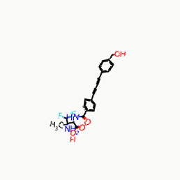 C[C@@](N)(C(F)F)[C@H](NC(=O)c1ccc(C#CC#Cc2ccc(CO)cc2)cc1)C(=O)O